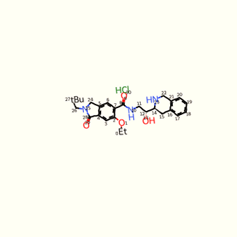 CCOc1cc2c(cc1C(=O)NC[C@@H](O)[C@@H]1Cc3ccccc3CN1)CN(CC(C)(C)C)C2=O.Cl